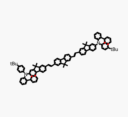 CC(C)(C)c1ccc(N(c2ccc3c(c2)C(C)(C)c2cc(/C=C/c4ccc5c(c4)C(C)(C)c4cc(/C=C/c6ccc7c(c6)C(C)(C)c6cc(N(c8ccc(C(C)(C)C)cc8)c8ccccc8-c8ccccc8)ccc6-7)ccc4-5)ccc2-3)c2ccccc2-c2ccccc2)cc1